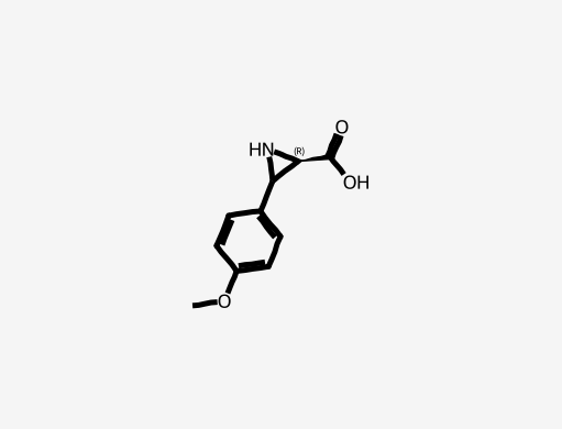 COc1ccc(C2N[C@H]2C(=O)O)cc1